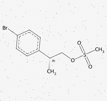 C[C@@H](COS(C)(=O)=O)c1ccc(Br)cc1